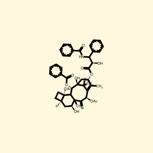 CC(=O)O[C@H]1C(=O)C2(C)C([C@H](OC(=O)c3ccccc3)[C@]3(O)C[C@H](OC(=O)[C@H](O)C(NC(=O)c4ccccc4)c4ccccc4)C(C)=C1C3(C)C)[C@]1(OC(C)=O)CC[C@@H]1C[C@@H]2O